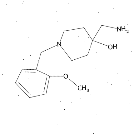 COc1ccccc1CN1CCC(O)(CN)CC1